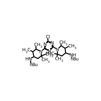 CCCCNC1CC(C)(C)N(c2nc(Cl)nc(N3C(C)C(C)C(NCCCC)CC3(C)C)n2)C(C)C1C